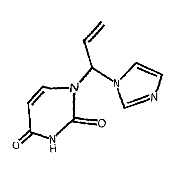 C=CC(n1ccnc1)n1ccc(=O)[nH]c1=O